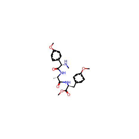 CN[C@H](C(=O)N[C@@H](C)C(=O)N[C@@H](Cc1ccc(OC)cc1)C(=O)OC)c1ccc(OC)cc1